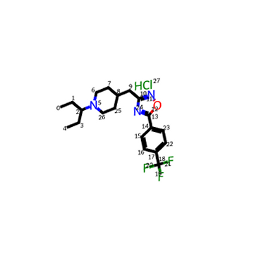 CCC(CC)N1CCC(Cc2noc(-c3ccc(C(F)(F)F)cc3)n2)CC1.Cl